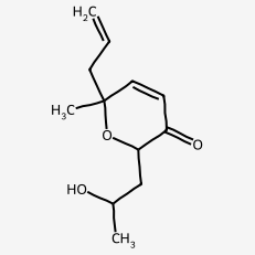 C=CCC1(C)C=CC(=O)C(CC(C)O)O1